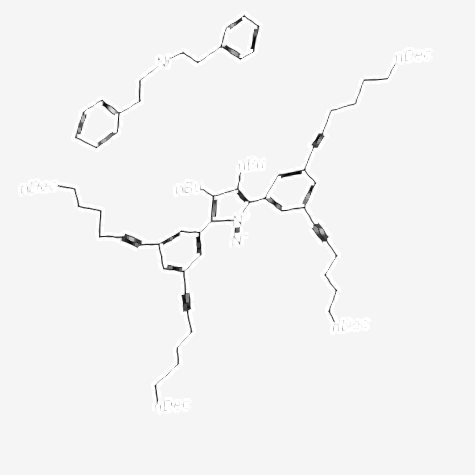 CCCCCCCCCCCCCCC#Cc1cc(C#CCCCCCCCCCCCCCC)cc(C2=C(CCCC)C(CCCC)=C(c3cc(C#CCCCCCCCCCCCCCC)cc(C#CCCCCCCCCCCCCCC)c3)[N+]2=[N-])c1.c1ccc(C[CH2][Ni][CH2]Cc2ccccc2)cc1